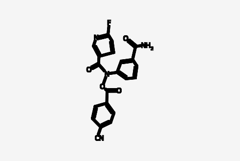 N#Cc1ccc(C(=O)ON(C(=O)c2ccc(F)nc2)c2cccc(C(N)=O)c2)cc1